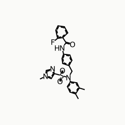 Cc1ccc(N(Cc2ccc(NC(=O)c3ccccc3F)cc2)S(=O)(=O)c2cn(C)cn2)cc1C